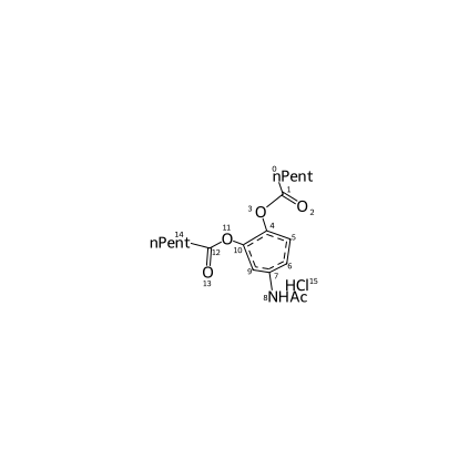 CCCCCC(=O)Oc1ccc(NC(C)=O)cc1OC(=O)CCCCC.Cl